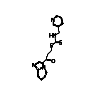 O=C(CCSC(=S)NCc1cccnc1)c1cnc2ccccn12